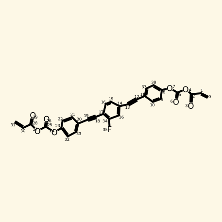 C=CC(=O)OC(=O)Oc1ccc(C#Cc2ccc(C#Cc3ccc(OC(=O)OC(=O)C=C)cc3)c(F)c2)cc1